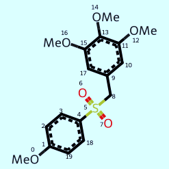 COc1ccc(S(=O)(=O)Cc2cc(OC)c(OC)c(OC)c2)cc1